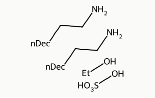 CCCCCCCCCCCCN.CCCCCCCCCCCCN.CCO.O=S(=O)(O)O